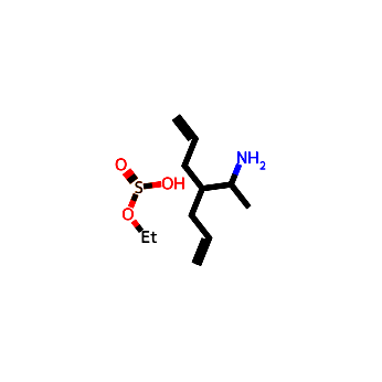 C=CCC(CC=C)C(C)N.CCOS(=O)O